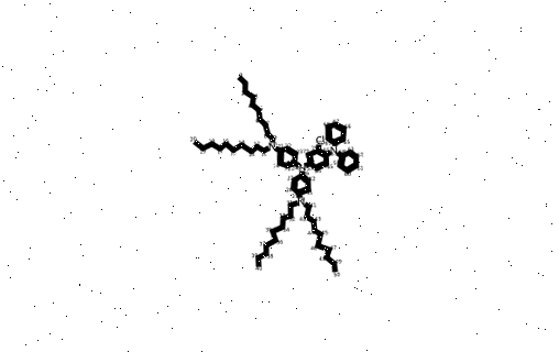 CCCCCCCCCCN(CCCCCCCCCC)c1ccc(N(c2ccc(N(CCCCCCCCCC)CCCCCCCCCC)cc2)c2ccc(N(c3ccccc3)c3ccccc3)c(Cl)c2)cc1